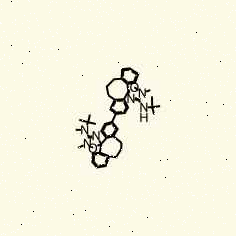 CN1OC2(N=C1NC(C)(C)C)c1ccccc1CCCc1cc(-c3ccc4c(c3)CCCc3ccccc3C43N=C(N(C)C(C)(C)C)N(C)O3)ccc12